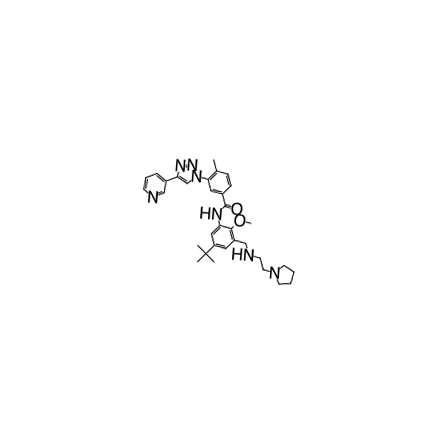 COc1c(CNCCN2CCCC2)cc(C(C)(C)C)cc1NC(=O)c1ccc(C)c(-n2cc(-c3cccnc3)nn2)c1